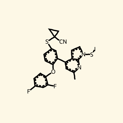 Cc1cc(-c2cc(SC3(C#N)CC3)ccc2Oc2ccc(F)cc2F)c2ccn(SI)c2n1